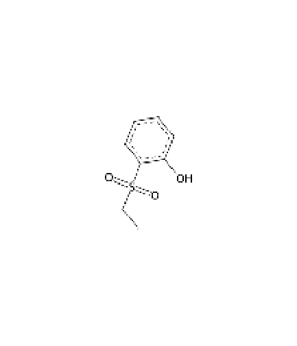 CCS(=O)(=O)c1ccccc1O